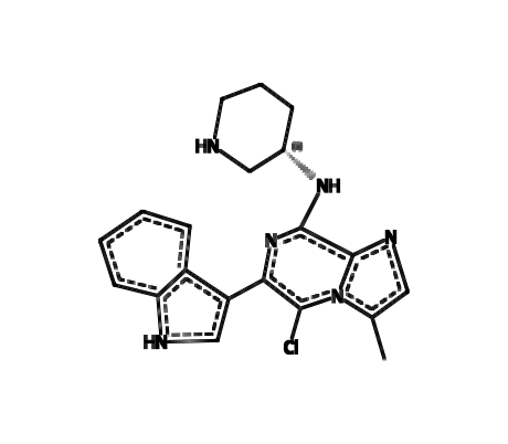 Cc1cnc2c(N[C@H]3CCCNC3)nc(-c3c[nH]c4ccccc34)c(Cl)n12